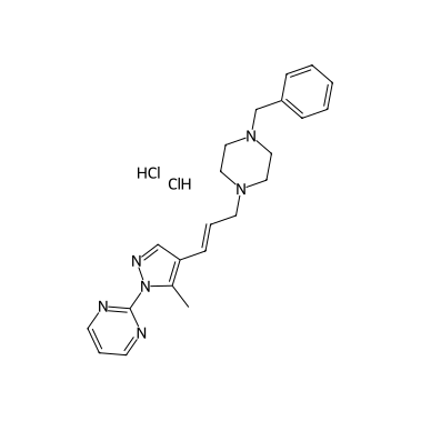 Cc1c(C=CCN2CCN(Cc3ccccc3)CC2)cnn1-c1ncccn1.Cl.Cl